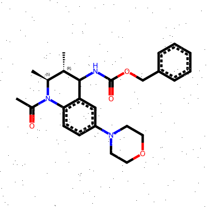 CC(=O)N1c2ccc(N3CCOCC3)cc2C(NC(=O)OCc2ccccc2)[C@@H](C)[C@@H]1C